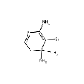 CC1(N)CC=NC(N)=C1Br